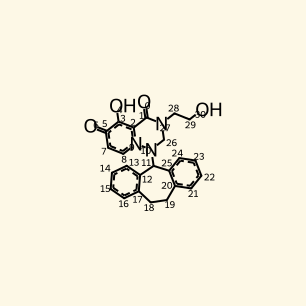 O=C1c2c(O)c(=O)ccn2N(C2c3ccccc3CCc3ccccc32)CN1CCO